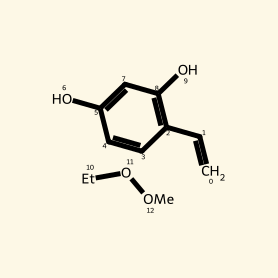 C=Cc1ccc(O)cc1O.CCOOC